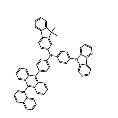 CC1(C)c2ccccc2-c2ccc(N(c3ccc(-c4c5ccccc5c(-c5cccc6ccccc56)c5ccccc45)cc3)c3ccc(-n4c5ccccc5c5ccccc54)cc3)cc21